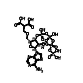 Nc1ncnc2c1ncn2[C@@H]1O[C@H](COCC(C(=O)O)C(=O)O)[C@@H](OP(=O)(O)OP(=O)(O)OP(=O)(O)OP(=O)(O)O)[C@H]1O